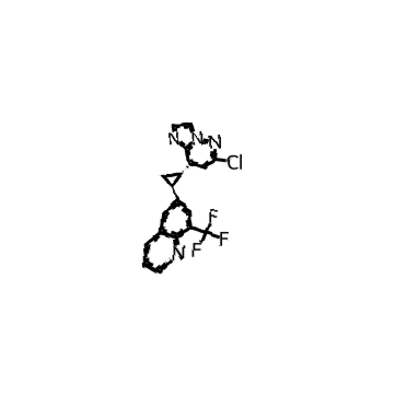 FC(F)(F)c1cc([C@H]2C[C@@H]2c2cc(Cl)nn3ccnc23)cc2cccnc12